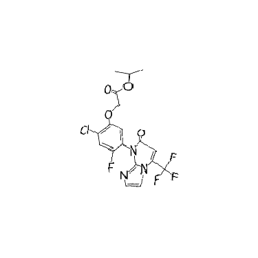 CC(C)OC(=O)COc1cc(-n2c(=O)cc(C(F)(F)F)n3ccnc23)c(F)cc1Cl